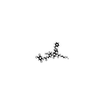 CCCCOC(=O)Nc1nc(=O)n([C@@H]2OC(COC(=O)COc3nc(Cl)c(Cl)cc3Cl)C(O)C2(F)F)cc1-c1cn(Cc2ccccc2)nn1